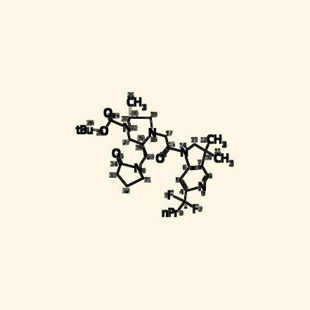 CCCC(F)(F)c1cc2c(cn1)C(C)(C)CN2C(=O)CN1C[C@@H](C)N(C(=O)OC(C)(C)C)C[C@@H]1CN1CCCC1=O